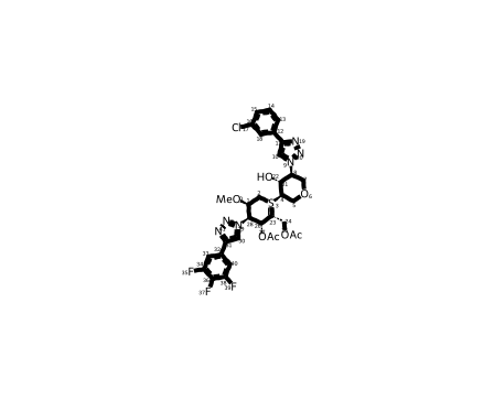 CO[C@H]1C[SH]([C@@H]2COC[C@H](n3cc(-c4cccc(Cl)c4)nn3)[C@H]2O)[C@H](COC(C)=O)[C@H](OC(C)=O)[C@H]1n1cc(-c2cc(F)c(F)c(F)c2)nn1